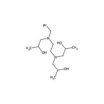 CC(C)CN(CCN(CC(C)O)CC(C)O)CC(C)O